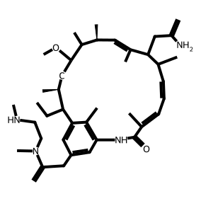 C=C(N)CC1/C(C)=C/[C@H](C)C(C)C(OC)C[C@H](C)C(CC)c2cc(CC(=C)N(C)CCNC)cc(c2C)NC(=O)/C(C)=C/C=C\C1C